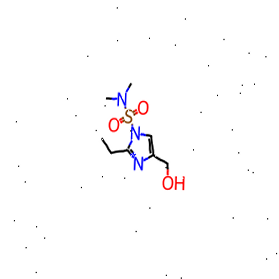 CCc1nc(CO)cn1S(=O)(=O)N(C)C